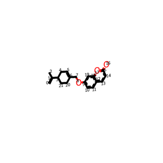 C=C(C)C1CC=C(COc2ccc3ccc(=O)oc3c2)CC1